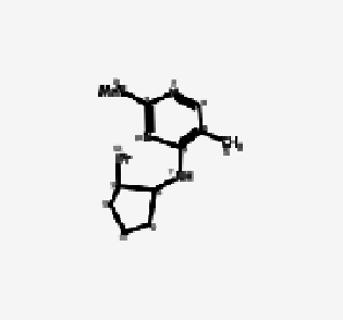 CNc1ncc(C)c(NC2CCCC2C(C)C)n1